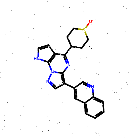 [O-][S+]1CCC(c2nc3c(-c4cnc5ccccc5c4)cnn3c3[nH]ccc23)CC1